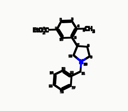 CCOC(=O)c1ccc(C)c(C2CCN(Cc3ccccc3)C2)c1